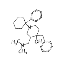 CN(C)CC1CN(C2(c3ccccc3)CCCCC2)CCC1(O)Cc1ccccc1